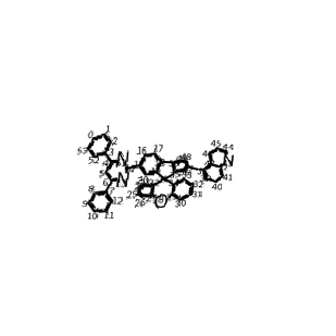 c1ccc(-c2cc(-c3ccccc3)nc(-c3ccc4c(c3)C3(c5ccccc5Oc5ccccc53)c3cc(-c5cccc6ncccc56)ccc3-4)n2)cc1